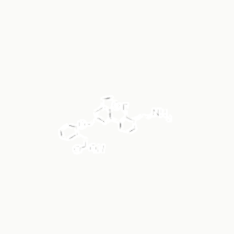 NCCc1cccc(-c2cc(COc3ccccc3CC(=O)O)cc3ccoc23)c1F